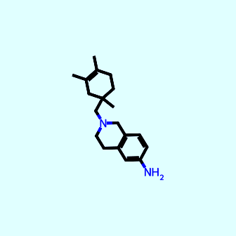 CC1=C(C)CC(C)(CN2CCc3cc(N)ccc3C2)CC1